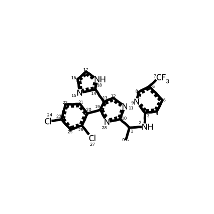 [CH2]C(Nc1ccc(C(F)(F)F)cn1)c1ncc(-c2ncc[nH]2)c(-c2ccc(Cl)cc2Cl)n1